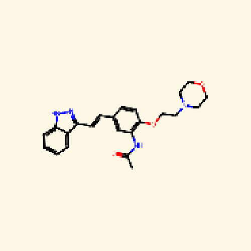 CC(=O)Nc1cc(C=Cc2n[nH]c3ccccc23)ccc1OCCN1CCOCC1